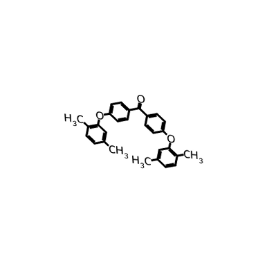 Cc1ccc(C)c(Oc2ccc(C(=O)c3ccc(Oc4cc(C)ccc4C)cc3)cc2)c1